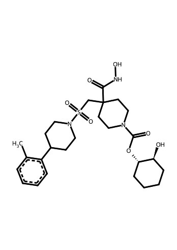 Cc1ccccc1C1CCN(S(=O)(=O)CC2(C(=O)NO)CCN(C(=O)O[C@H]3CCCC[C@@H]3O)CC2)CC1